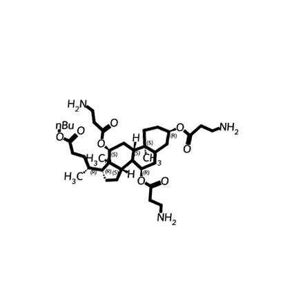 CCCCOC(=O)CC[C@@H](C)[C@H]1CC[C@H]2C3[C@H](OC(=O)CCN)CC4C[C@H](OC(=O)CCN)CC[C@]4(C)[C@H]3C[C@H](OC(=O)CCN)[C@]12C